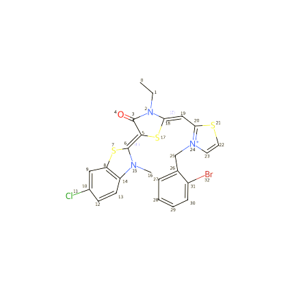 CCn1c(=O)/c(=C2\Sc3cc(Cl)ccc3N2C)s/c1=C\c1scc[n+]1Cc1ccccc1Br